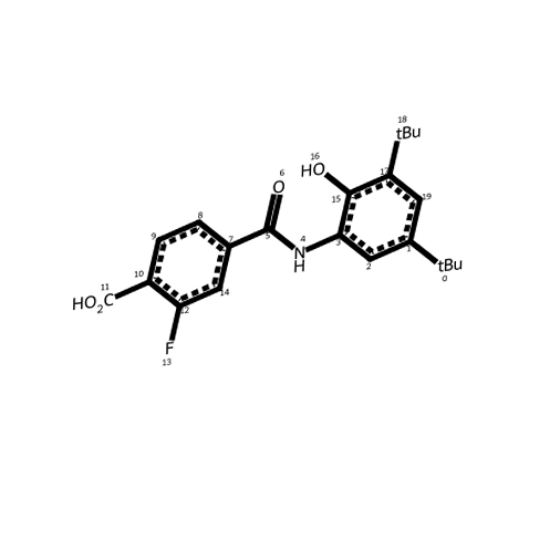 CC(C)(C)c1cc(NC(=O)c2ccc(C(=O)O)c(F)c2)c(O)c(C(C)(C)C)c1